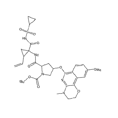 C=CC1CC1(NC(=O)C1CC(Oc2nc3c(c4cc(OC)ccc24)OCCN3C)CN1C(=O)OC(C)(C)C)C(=O)NS(=O)(=O)C1CC1